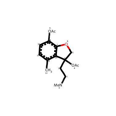 CNCCC1(OC(C)=O)COc2c(OC(C)=O)ccc(C)c21